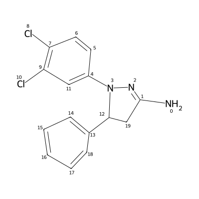 NC1=NN(c2ccc(Cl)c(Cl)c2)C(c2ccccc2)C1